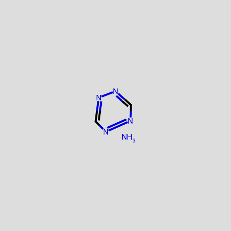 N.c1nncnn1